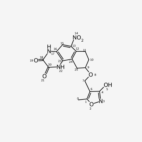 Cc1onc(O)c1COC1CCc2c([N+](=O)[O-])cc3[nH]c(=O)c(=O)[nH]c3c2C1